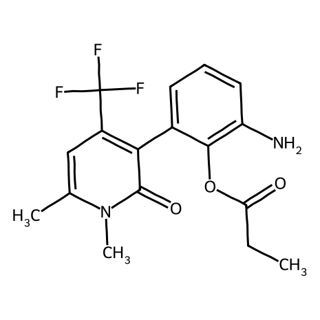 CCC(=O)Oc1c(N)cccc1-c1c(C(F)(F)F)cc(C)n(C)c1=O